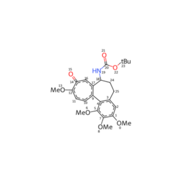 COc1cc2c(c(OC)c1OC)-c1ccc(OC)c(=O)cc1C(NC(=O)OC(C)(C)C)CC2